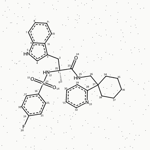 C[C@@](Cc1c[nH]c2ccccc12)(NS(=O)(=O)c1ccc(F)cc1)C(=O)NCC1(c2ccccn2)CCCCC1